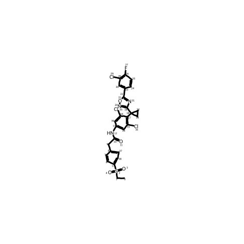 CCS(=O)(=O)c1ccc(CC(=O)Nc2cc(Cl)c(C3(c4noc(-c5ccc(F)c(Cl)c5)n4)CC3)c(Cl)c2)cc1